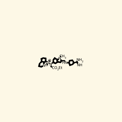 CCOC(=O)CN(c1ccc2c(c1)cc(CNc1ccc(C(=N)N)cc1)n2C)S(=O)(=O)c1cccc2cccnc12